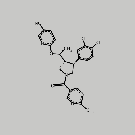 Cc1ncc(C(=O)N2C[C@H]([C@H](C)Oc3ccc(C#N)cn3)[C@@H](c3ccc(Cl)c(Cl)c3)C2)cn1